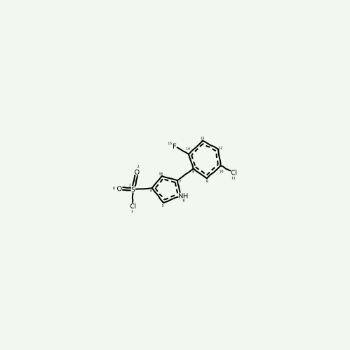 O=S(=O)(Cl)c1c[nH]c(-c2cc(Cl)ccc2F)c1